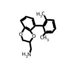 Cc1cccc(C)c1-c1cccc2c1OC(CN)CO2